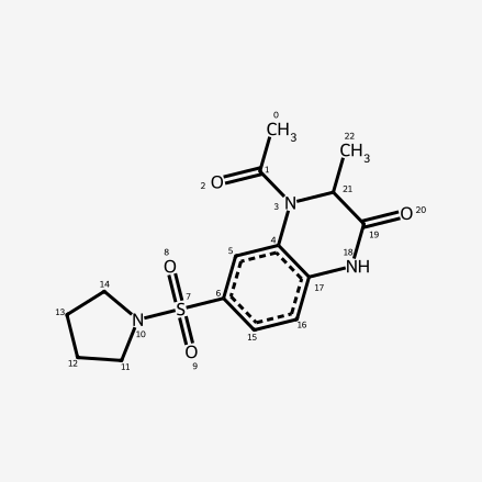 CC(=O)N1c2cc(S(=O)(=O)N3CCCC3)ccc2NC(=O)C1C